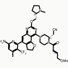 COC/C=C/C(=O)N1CCN(c2nc(OC[C@@H]3CCCN3C)nc3cc(-c4nc(N)cc(C)c4C(F)(F)F)c4c(c23)OCC4)C[C@@H]1CC#N